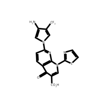 Nc1cn(-c2ccc3c(=O)c(C(=O)O)cn(-c4nccs4)c3n2)cc1C(F)(F)F